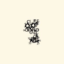 COc1ccc(Cl)cc1C1(F)C(=O)N(C(=O)OCC(C)OP(=O)(OC(C)(C)C)OC(C)(C)C)c2cc(C(F)(F)F)ccc21